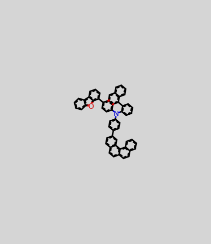 c1ccc(N(c2ccc(-c3ccc4ccc5ccc6ccccc6c5c4c3)cc2)c2ccc(-c3cccc4c3oc3ccccc34)cc2)c(-c2cccc3ccccc23)c1